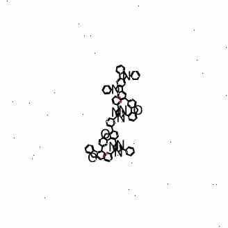 C1=CCCC(n2c3ccccc3c3cc4c(cc32)c2cc(-c3ccc5oc6cccc(-c7nc(-c8ccccc8)nc(-c8cccc(-c9ccc(-c%10nc(-c%11ccccc%11)nc(-c%11ccccc%11)n%10)c%10c9oc9ccc(-c%11cccc%12oc%13ccccc%13c%11%12)cc9%10)c8)n7)c6c5c3)ccc2n4-c2ccccc2)=C1